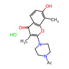 CC(=O)N1CCN(c2oc3c(C)c(O)ccc3c(=O)c2C)CC1.Cl